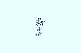 NC(=O)C=CC(=O)Nc1cccc(C(=O)C2=C(O)C(=O)N(c3cccc(Cl)c3)C2c2ccc(Cl)cc2)c1